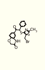 Cc1nc(SC(C(=O)c2ccc3c(c2)NC(=O)CO3)c2ccccc2)c(CBr)s1